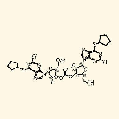 O=C(O[C@H]1[C@H](F)[C@H](n2cnc3c(SC4CCCC4)nc(Cl)nc32)O[C@@H]1CO)O[C@H]1[C@H](F)[C@H](n2cnc3c(SC4CCCC4)nc(Cl)nc32)O[C@@H]1CO